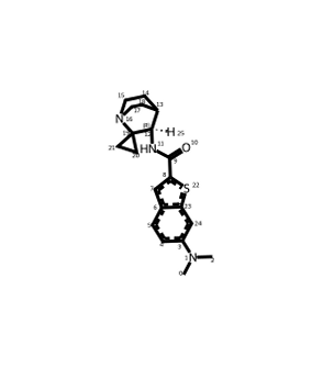 CN(C)c1ccc2cc(C(=O)N[C@@H]3C4CCN(CC4)C34CC4)sc2c1